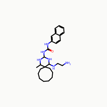 CC1NC(NC(=O)Nc2ccc3ccccc3c2)NC(NCCN)C12CCCCCCCC2